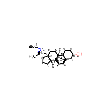 CC(=NOCC(C)C)[C@H]1CC[C@H]2C3=CC=C4C[C@@H](O)CC[C@]4(C)[C@H]3CC[C@]12C